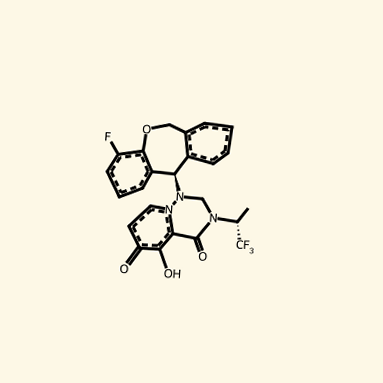 C[C@@H](N1CN([C@@H]2c3ccccc3COc3c(F)cccc32)n2ccc(=O)c(O)c2C1=O)C(F)(F)F